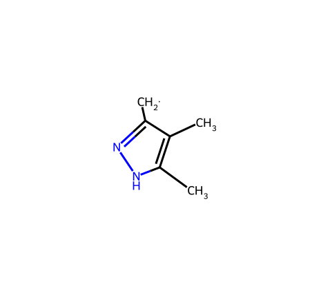 [CH2]c1n[nH]c(C)c1C